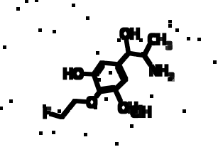 CC(N)C(O)c1cc(O)c(OCCF)c(O)c1.Cl